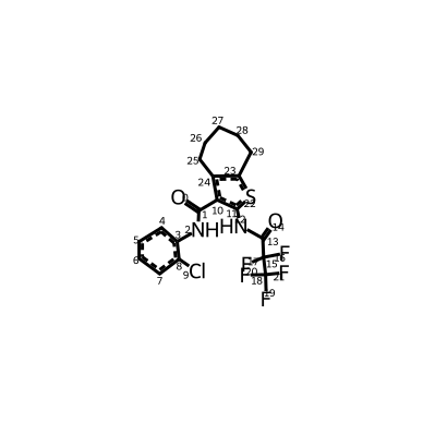 O=C(Nc1ccccc1Cl)c1c(NC(=O)C(F)(F)C(F)(F)F)sc2c1CCCCC2